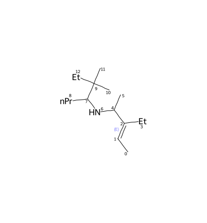 C/C=C(\CC)C(C)NC(CCC)C(C)(C)CC